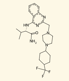 CC(C)[C@H](Nc1nc(CN2CCN(C3CCC(C(F)(F)F)CC3)CC2)nc2ccccc12)C(N)=O